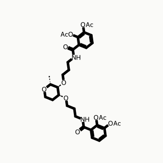 CC(=O)Oc1cccc(C(=O)NCCCO[C@H]2[C@@H](C)OCC[C@H]2OCCCNC(=O)c2cccc(OC(C)=O)c2OC(C)=O)c1OC(C)=O